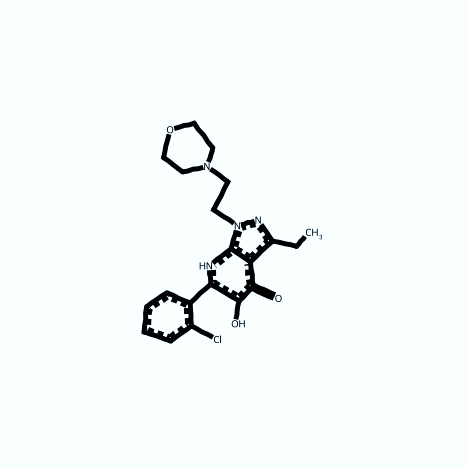 CCc1nn(CCN2CCOCC2)c2[nH]c(-c3ccccc3Cl)c(O)c(=O)c12